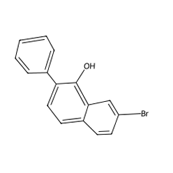 Oc1c(-c2ccccc2)ccc2ccc(Br)cc12